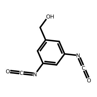 O=C=Nc1cc(CO)cc(N=C=O)c1